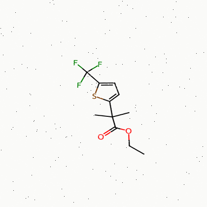 CCOC(=O)C(C)(C)c1ccc(C(F)(F)F)s1